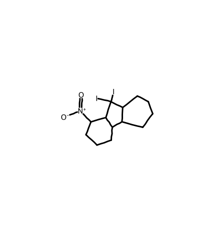 O=[N+]([O-])C1CCCC2C3CCCCC3C(I)(I)C21